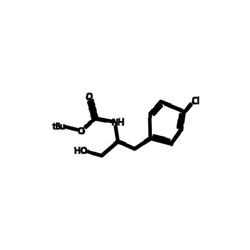 CC(C)(C)OC(=O)NC(CO)Cc1ccc(Cl)cc1